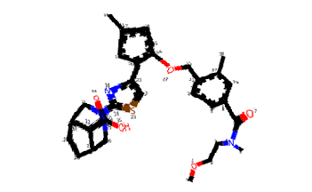 COCCN(C)C(=O)c1ccc(COc2ccc(C)cc2-c2csc(N3CC4CCC(C3)C4C(=O)O)n2)c(C)c1